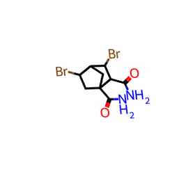 NC(=O)C1C(Br)C2CC1(C(N)=O)CC2Br